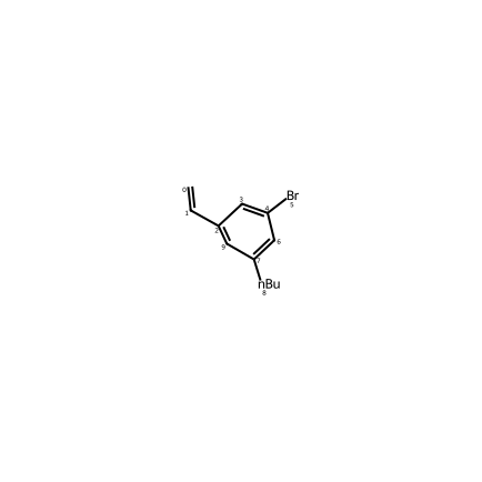 C=Cc1cc(Br)cc(CCCC)c1